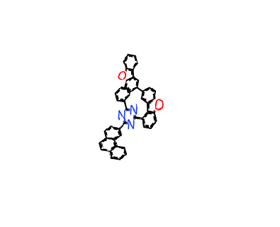 c1ccc(-c2nc(-c3ccc4ccc5ccccc5c4c3)nc(-c3cccc4oc5ccc(-c6ccc7oc8ccccc8c7c6)cc5c34)n2)cc1